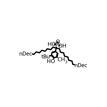 CCCCCCCCCCCCCCCCCCC(CCCCCCCCCCCCCCCCCC)(c1cc(C)c(O)c(C(C)(C)C)c1)P(=O)(O)O